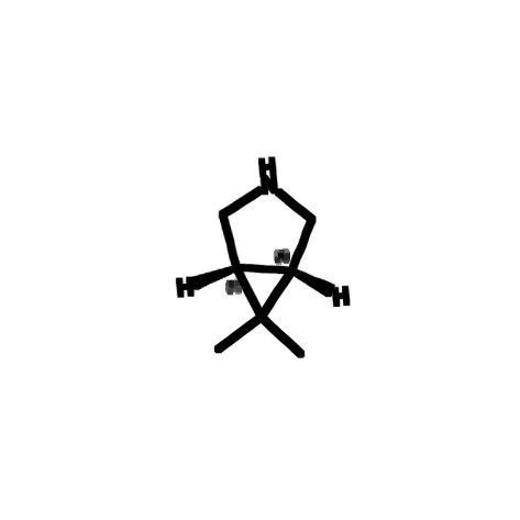 CC1(C)[C@@H]2CNC[C@@H]21